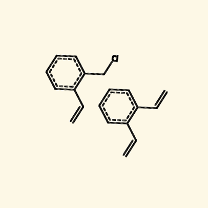 C=Cc1ccccc1C=C.C=Cc1ccccc1CCl